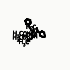 CCC(C1CCCCC1)n1nc(CN(C)C(=O)OC(C)(C)C)cc1OCc1ccccc1